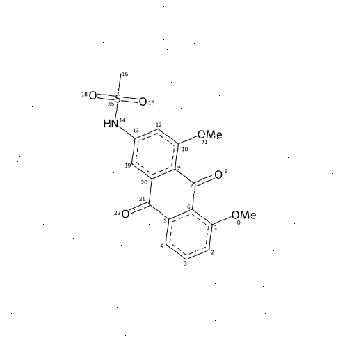 COc1cccc2c1C(=O)c1c(OC)cc(NS(C)(=O)=O)cc1C2=O